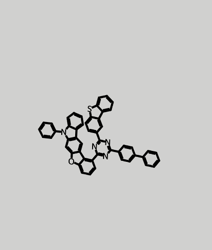 c1ccc(-c2ccc(-c3nc(-c4ccc5sc6ccccc6c5c4)nc(-c4cccc5oc6cc7c(cc6c45)c4ccccc4n7-c4ccccc4)n3)cc2)cc1